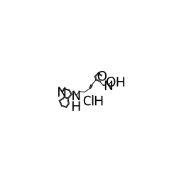 Cl.O/N=C\c1occc1C#CCCNc1ccnc2ccccc12